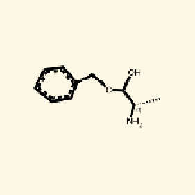 C[C@H](N)C(O)OCc1ccccc1